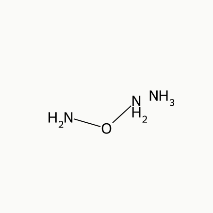 N.NON